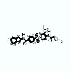 C=CC(=O)NC1CCN(S(=O)(=O)c2ccc(C(=O)NC3Cc4ccccc4C3)cc2)CC1C